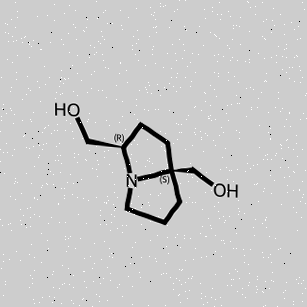 OC[C@H]1CC[C@]2(CO)CCCN12